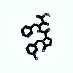 NC(=O)C(=O)C(Cc1ccccc1)NC(=O)C1CCC(=O)N1Cc1cccc(Cl)c1